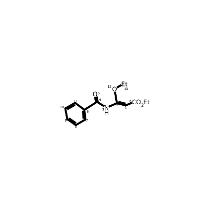 CCOC(=O)C=C(NC(=O)c1ccccc1)OCC